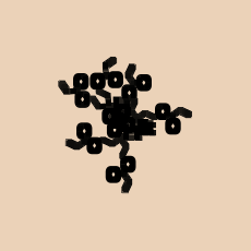 C=CC(=O)OCCC(CC)(CCOC(=O)C=C)OP(=O)(OC(CC)(CCOC(=O)C=C)CCOC(=O)C=C)OC(CC)(CCOC(=O)C=C)CCOC(=O)C=C